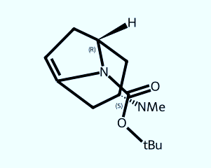 CN[C@@H]1CC2=CC[C@H](C1)N2C(=O)OC(C)(C)C